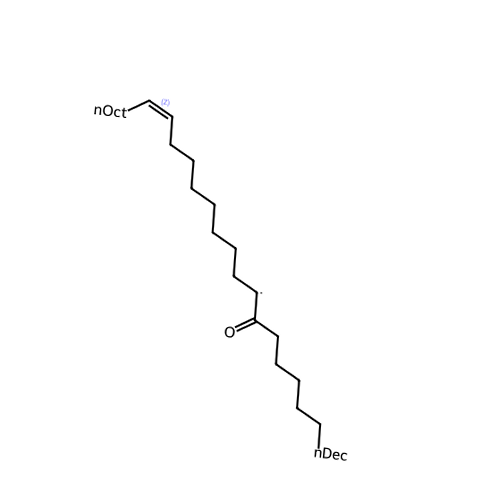 CCCCCCCC/C=C\CCCCCCC[CH]C(=O)CCCCCCCCCCCCCCC